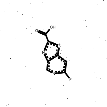 O=C(O)c1nc2cnc(F)cc2s1